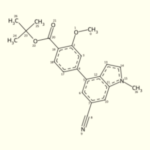 COc1cc(-c2cc(C#N)cc3c2ccn3C)ccc1C(=O)OC(C)(C)C